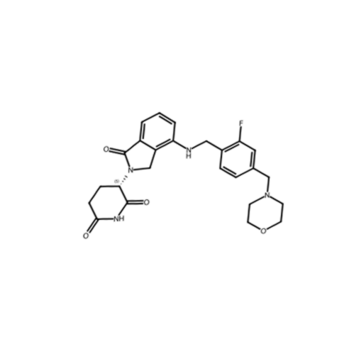 O=C1CC[C@H](N2Cc3c(NCc4ccc(CN5CCOCC5)cc4F)cccc3C2=O)C(=O)N1